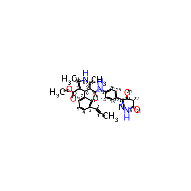 CC#Cc1cccc(C2C(C(=O)Nc3ccc(C4=NNC(=O)CC4=O)cc3)=C(C)NC(C)=C2C(=O)OC)c1